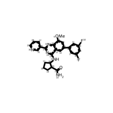 COc1cc(-c2cc(F)cc(F)c2)cc2c(NC3CCCC3C(N)=O)nc(-c3cccnc3)nc12